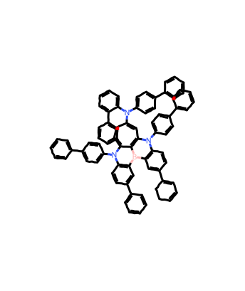 C1=CCCC(c2ccc3c(c2)B2C4=C(C=C(N(c5ccc(-c6ccccc6)cc5)c5ccccc5-c5ccccc5)CC=C4N(c4ccc(-c5ccccc5)cc4)c4ccc(-c5ccccc5)cc42)N3c2ccc(-c3ccccc3)cc2)=C1